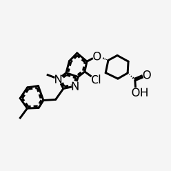 Cc1cccc(Cc2nc3c(Cl)c(O[C@H]4CC[C@@H](C(=O)O)CC4)ccc3n2C)c1